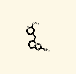 COc1cc(Cc2cccc3nc(N)nn23)ccn1